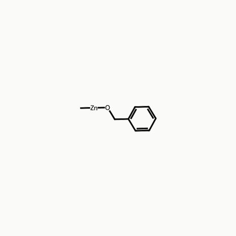 [CH3][Zn][O]Cc1ccccc1